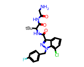 CC(C)(C)C(NC(=O)c1nn(Cc2ccc(F)cc2)c2c(Cl)cccc12)C(=O)NC(=O)CN